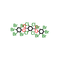 O=C(Oc1c(Br)c(Br)c(Br)c(Br)c1Br)c1c(Cl)c(Cl)c(C(=O)Oc2c(Br)c(Br)c(Br)c(Br)c2Br)c(Cl)c1Cl